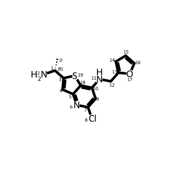 C[C@@H](N)c1cc2nc(Cl)cc(NCc3ccco3)c2s1